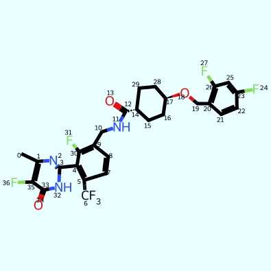 Cc1nc(-c2c(C(F)(F)F)ccc(CNC(=O)[C@H]3CC[C@H](OCc4ccc(F)cc4F)CC3)c2F)[nH]c(=O)c1F